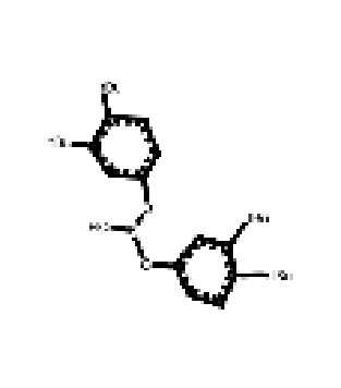 CC(C)(C)c1ccc(OP(O)Oc2ccc(C(C)(C)C)c(C(C)(C)C)c2)cc1C(C)(C)C